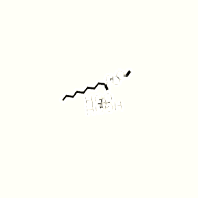 C=COOOC(=C)CCCCCCCC.O=P(O)(O)O